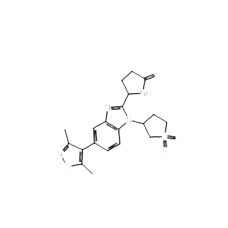 Cc1noc(C)c1-c1ccc2c(c1)nc(C1CCC(=O)N1)n2C1CCS(=O)(=O)C1